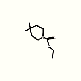 CCOC(=O)N1CCC(C)(C)CC1